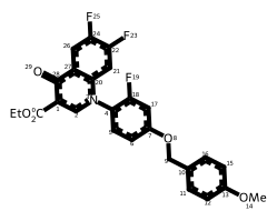 CCOC(=O)c1cn(-c2ccc(OCc3ccc(OC)cc3)cc2F)c2cc(F)c(F)cc2c1=O